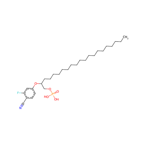 CCCCCCCCCCCCCCCCCCCC(COP(=O)(O)O)Oc1ccc(C#N)c(F)c1